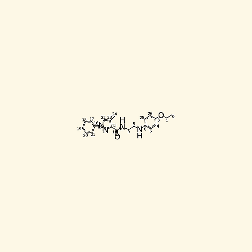 CCOc1ccc(NCCNC(=O)c2nn(-c3ccccc3)cc2C)cc1